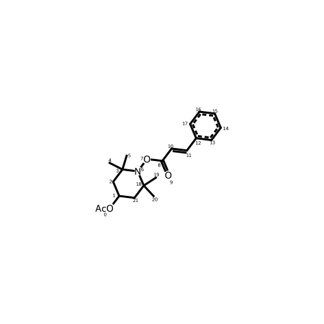 CC(=O)OC1CC(C)(C)N(OC(=O)C=Cc2ccccc2)C(C)(C)C1